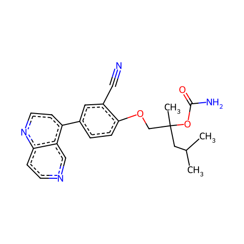 CC(C)CC(C)(COc1ccc(-c2ccnc3ccncc23)cc1C#N)OC(N)=O